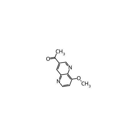 COc1ccnc2cc(C(C)=O)cnc12